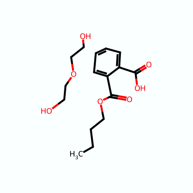 CCCCOC(=O)c1ccccc1C(=O)O.OCCOCCO